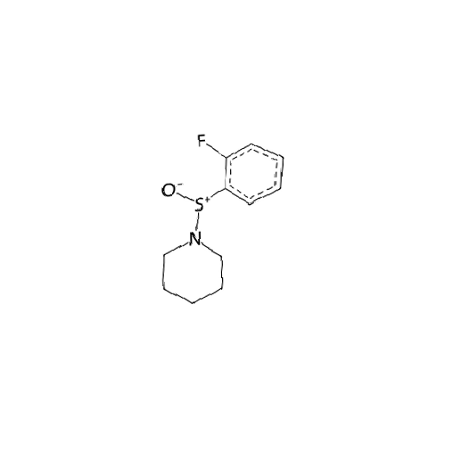 [O-][S+](c1ccccc1F)N1CCCCC1